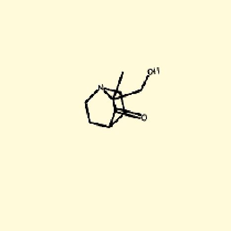 CC1(CO)C(=O)C2CCN1CC2